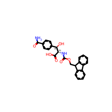 NC(=O)c1ccc([C@@H](O)[C@H](NC(=O)OCC2c3ccccc3-c3ccccc32)C(=O)O)cc1